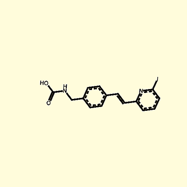 O=C(O)NCc1ccc(C=Cc2cccc(I)n2)cc1